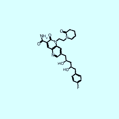 NC(=O)c1cc2ncc(CC(O)CC(O)Cc3ccc(F)cc3)cc2n(CCN2CCCCC2=O)c1=O